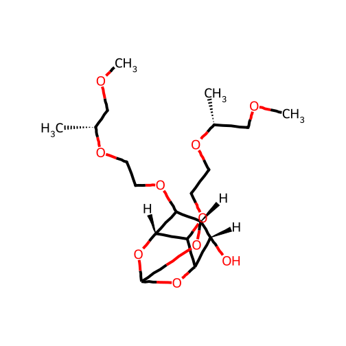 COC[C@@H](C)OCCOC1C2OC3O[C@@H]1C(OCCO[C@H](C)COC)[C@@H](O3)[C@@H]2O